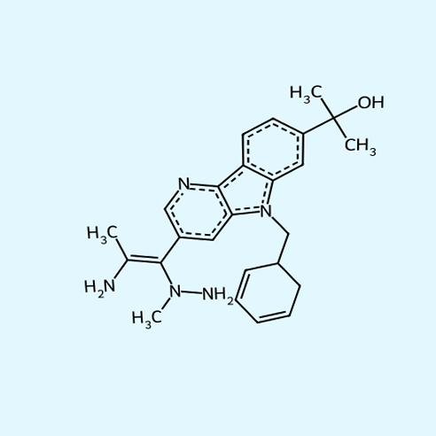 C/C(N)=C(\c1cnc2c3ccc(C(C)(C)O)cc3n(CC3C=CC=CC3)c2c1)N(C)N